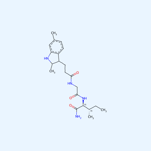 CC[C@H](C)[C@H](NC(=O)CNC(=O)CCC1c2ccc(C)cc2NC1C)C(N)=O